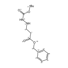 CC(C)(C)OC(=O)NNCCC(=O)OCc1ccccc1